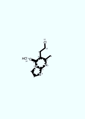 Cc1nc2sccn2c(=O)c1CCCl.Cl